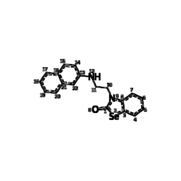 O=c1[se]c2ccccc2n1CCNc1ccc2ccccc2c1